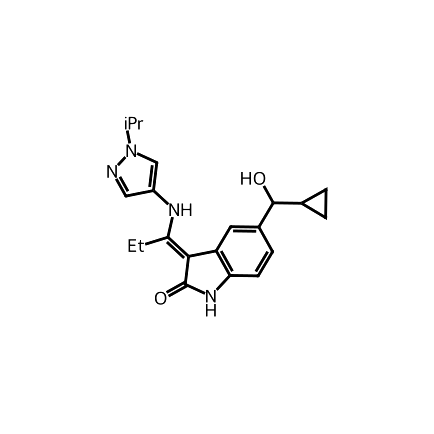 CCC(Nc1cnn(C(C)C)c1)=C1C(=O)Nc2ccc(C(O)C3CC3)cc21